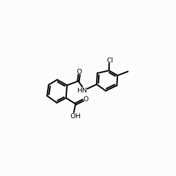 Cc1ccc(NC(=O)c2ccccc2C(=O)O)cc1Cl